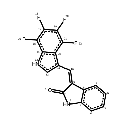 O=C1Nc2ccccc2C1=Cc1c[nH]c2c(F)c(F)c(F)c(F)c12